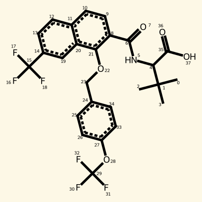 CC(C)(C)C(NC(=O)c1ccc2ccc(C(F)(F)F)cc2c1OCc1ccc(OC(F)(F)F)cc1)C(=O)O